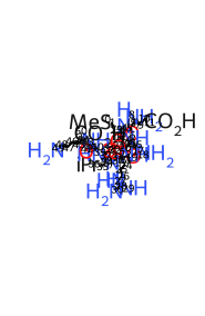 CSCC[C@H](NC(=O)[C@@H](N)CCC(=O)O)C(=O)N[C@@H](CC(N)=O)C(=O)N[C@@H](CCCNC(=N)N)C(=O)N[C@@H](CC(C)C)C(=O)NCC(=O)N[C@@H](CCCCN)C(=O)O